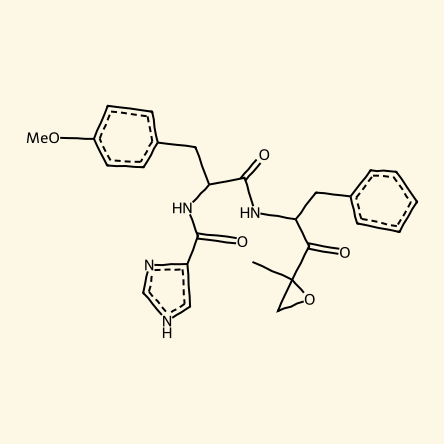 COc1ccc(CC(NC(=O)c2c[nH]cn2)C(=O)NC(Cc2ccccc2)C(=O)C2(C)CO2)cc1